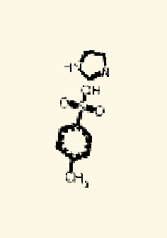 C1=NCCN1.Cc1ccc(S(=O)(=O)O)cc1